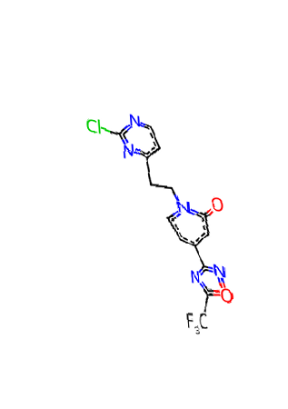 O=c1cc(-c2noc(C(F)(F)F)n2)ccn1CCc1ccnc(Cl)n1